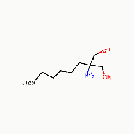 CCCCCCCCCCCC(N)(CO)CO